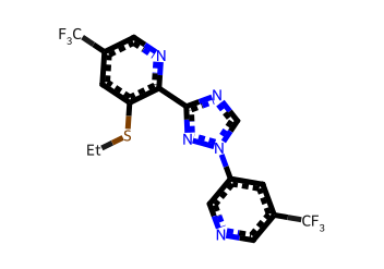 CCSc1cc(C(F)(F)F)cnc1-c1ncn(-c2cncc(C(F)(F)F)c2)n1